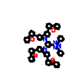 c1ccc(-c2nc(-c3ccccc3)nc(-c3cc(-n4c5ccc(-c6cccc7c6oc6ccccc67)cc5c5cc(-c6cccc7c6oc6ccccc67)ccc54)cc(-n4c5ccc(-c6cccc7c6oc6ccccc67)cc5c5cc(-c6cccc7c6oc6ccccc67)ccc54)c3)n2)cc1